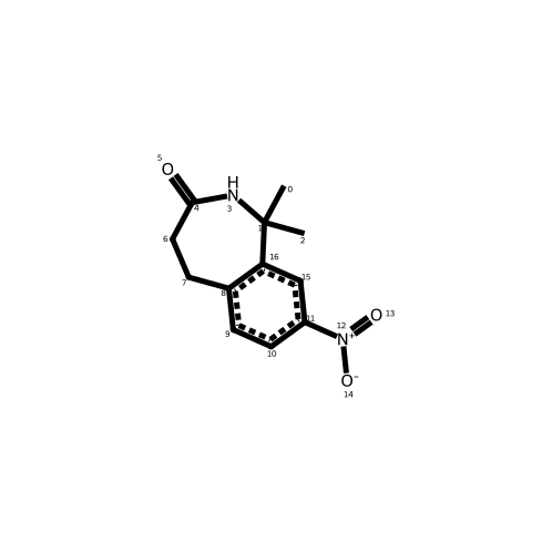 CC1(C)NC(=O)CCc2ccc([N+](=O)[O-])cc21